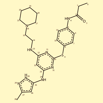 CCC(=O)Nc1ccc(Sc2nc(NCCN3CCCCC3)cc(Nc3cc(C)n[nH]3)n2)cc1